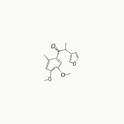 COc1cc(C)c(C(=O)C(C)c2ccoc2)cc1OC